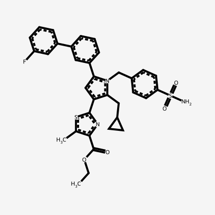 CCOC(=O)c1nc(-c2cc(-c3cccc(-c4cccc(F)c4)c3)n(Cc3ccc(S(N)(=O)=O)cc3)c2CC2CC2)sc1C